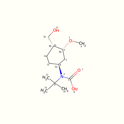 CO[C@@H]1C[C@@H](N(C(=O)O)C(C)(C)C)CC[C@@H]1CO